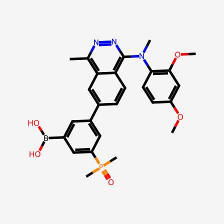 COc1ccc(N(C)c2nnc(C)c3cc(-c4cc(B(O)O)cc(P(C)(C)=O)c4)ccc23)c(OC)c1